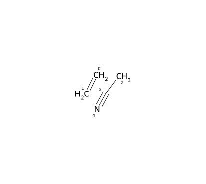 C=C.CC#N